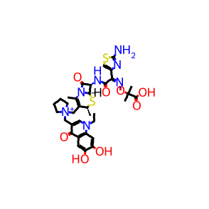 CCn1cc(C[N+]2(CC3=C(C)N4C(=O)[C@@H](NC(=O)/C(=N\OC(C)(C)C(=O)O)c5csc(N)n5)[C@H]4S[C@H]3C)CCCC2)c(=O)c2cc(O)c(O)cc21